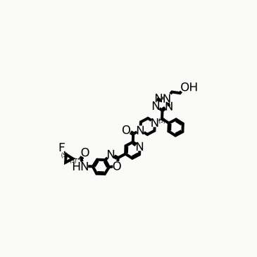 O=C(Nc1ccc2oc(-c3ccnc(C(=O)N4CCN([C@@H](c5ccccc5)c5nnn(CCO)n5)CC4)c3)nc2c1)[C@@H]1C[C@@H]1F